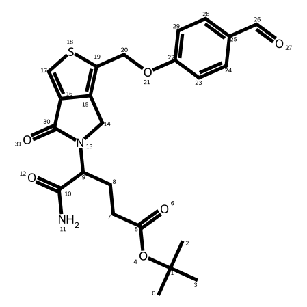 CC(C)(C)OC(=O)CCC(C(N)=O)N1Cc2c(csc2COc2ccc(C=O)cc2)C1=O